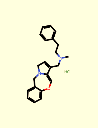 CN(CCc1ccccc1)CC1=CCN2Cc3ccccc3OC=C12.Cl